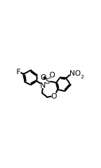 O=[N+]([O-])c1ccc2c(c1)S(=O)(=O)N(c1ccc(F)cc1)CCO2